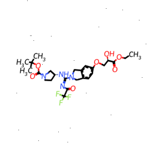 CCOC(=O)[C@H](O)COc1ccc2c(c1)CN(/C(=N\C(=O)C(F)(F)F)N[C@@H]1CCN(C(=O)OC(C)(C)C)C1)C2